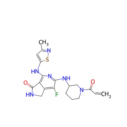 C=CC(=O)N1CCCC(Nc2nc(Nc3cc(C)ns3)c3c(c2F)CNC3=O)C1